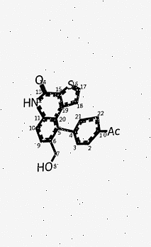 CC(=O)c1ccc(-c2c(CO)ccc3[nH]c(=O)c4sccc4c23)cc1